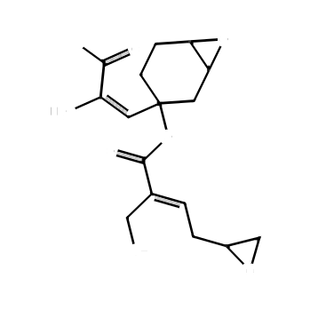 CCC(=CCC1CO1)C(=O)OC1(C=C(C)C(=O)O)CCC2OC2C1